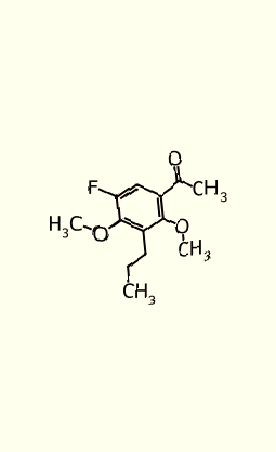 CCCc1c(OC)c(F)cc(C(C)=O)c1OC